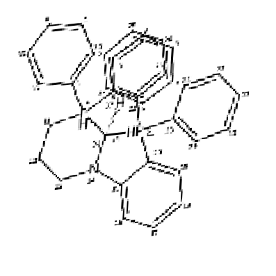 c1ccc([PH]2(c3ccccc3)CCCN3c4ccccc4[PH](c4ccccc4)(c4ccccc4)[C@@H]32)cc1